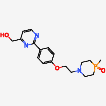 CP1(=O)CCN(CCOc2ccc(-c3nccc(CO)n3)cc2)CC1